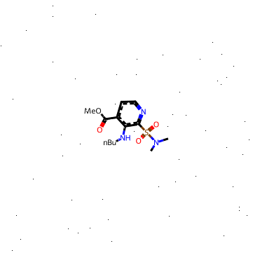 CCCCNc1c(C(=O)OC)ccnc1S(=O)(=O)N(C)C